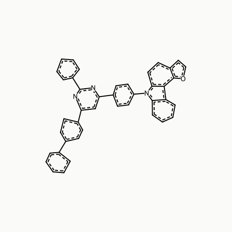 c1ccc(-c2ccc(-c3cc(-c4ccc(-n5c6ccccc6c6c7occc7ccc65)cc4)nc(-c4ccccc4)n3)cc2)cc1